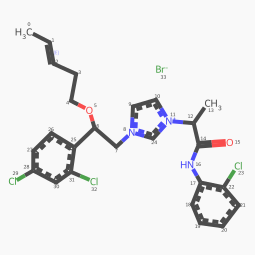 C/C=C/CCOC(Cn1cc[n+](C(C)C(=O)Nc2ccccc2Cl)c1)c1ccc(Cl)cc1Cl.[Br-]